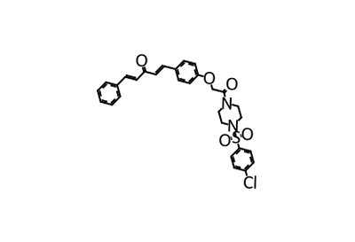 O=C(C=Cc1ccccc1)C=Cc1ccc(OCC(=O)N2CCN(S(=O)(=O)c3ccc(Cl)cc3)CC2)cc1